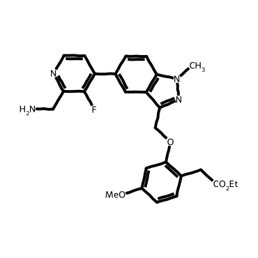 CCOC(=O)Cc1ccc(OC)cc1OCc1nn(C)c2ccc(-c3ccnc(CN)c3F)cc12